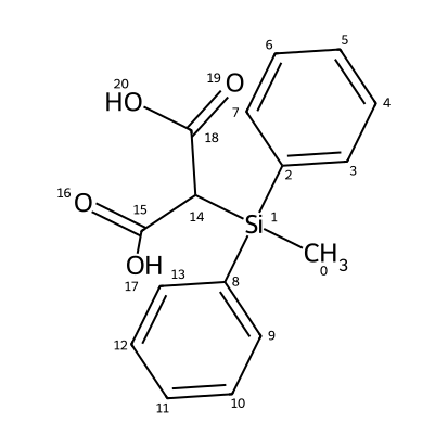 C[Si](c1ccccc1)(c1ccccc1)C(C(=O)O)C(=O)O